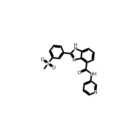 CS(=O)(=O)c1cccc(-c2nc3c(C(=O)Nc4cccnc4)cccc3[nH]2)c1